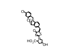 O=C1N=C(N2C[C@H](O)CC2C(=O)O)SC1=Cc1ccc2c(cnn2Cc2ccc(Cl)cc2C(F)(F)F)c1